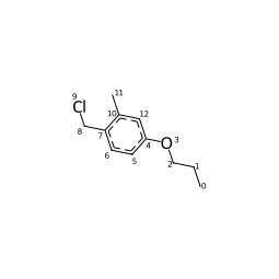 CCCOc1ccc(CCl)c(C)c1